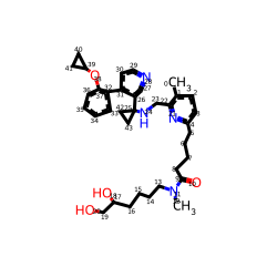 Cc1ccc(CCCCC(=O)N(C)CCCCC(O)CO)nc1CNC1(c2cnccc2-c2ccccc2OC2CC2)CC1